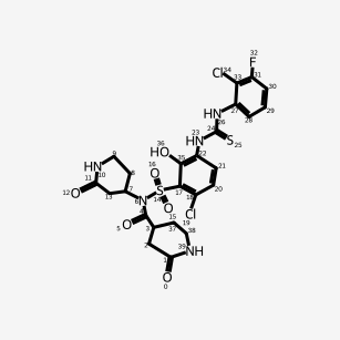 O=C1CC(C(=O)N(C2CCNC(=O)C2)S(=O)(=O)c2c(Cl)ccc(NC(=S)Nc3cccc(F)c3Cl)c2O)CCN1